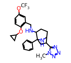 Cn1nnnc1C1CC2(c3ccccc3)NC1CCC2NCc1cc(OC(F)(F)F)ccc1OC1CC1